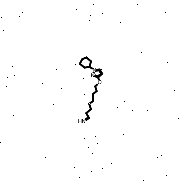 N=CCCCCCCCOc1ccn(C2CCCCC2)n1